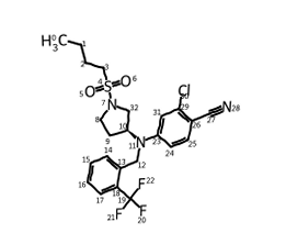 CCCCS(=O)(=O)N1CC[C@H](N(Cc2ccccc2C(F)(F)F)c2ccc(C#N)c(Cl)c2)C1